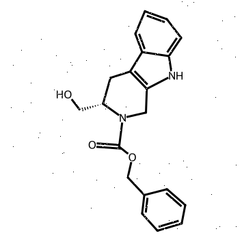 O=C(OCc1ccccc1)N1Cc2[nH]c3ccccc3c2C[C@H]1CO